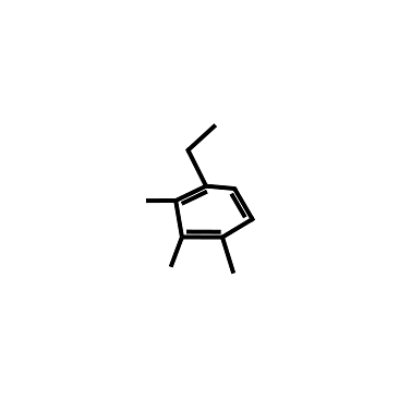 CCc1ccc(C)c(C)c1C